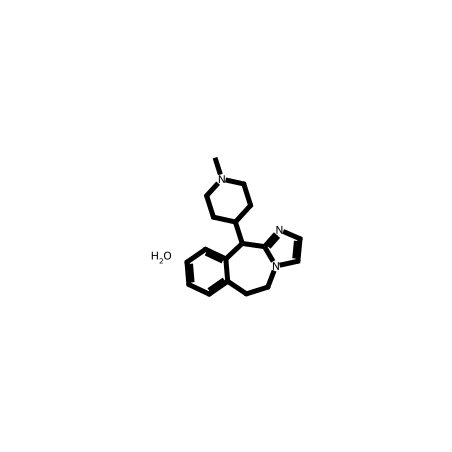 CN1CCC(C2c3ccccc3CCn3ccnc32)CC1.O